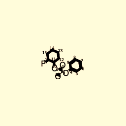 O=S(=O)(Oc1ccccc1)OC1CCCCC1F